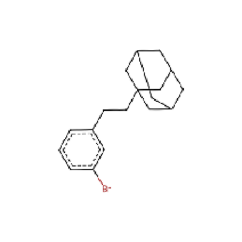 Brc1cccc(CCC23CC4CC(CC(C4)C2)C3)c1